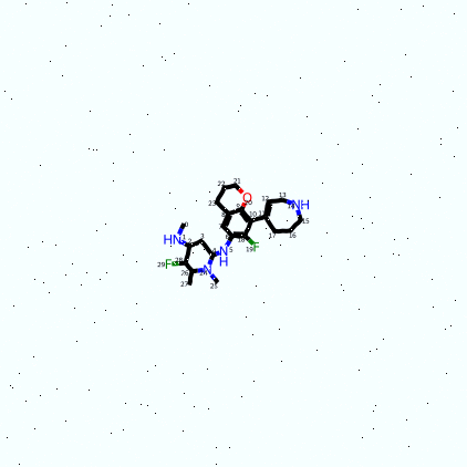 CNC1CC(Nc2cc3c(c(C4=CCNCCC4)c2F)OCCC3)N(C)C(C)C1F